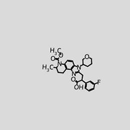 COC(=O)N1c2ccc3c(nc(CC(C(=O)O)c4cccc(F)c4)n3C3CCCOC3)c2CCC1C